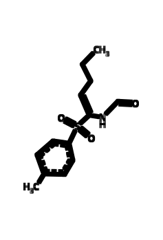 CCCC=C(NC=O)S(=O)(=O)c1ccc(C)cc1